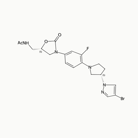 CC(=O)NC[C@H]1CN(c2ccc(N3CC[C@H](n4cc(Br)cn4)C3)c(F)c2)C(=O)O1